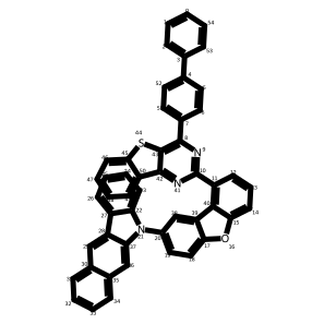 c1ccc(-c2ccc(-c3nc(-c4cccc5oc6ccc(-n7c8ccccc8c8cc9ccccc9cc87)cc6c45)nc4c3sc3ccccc34)cc2)cc1